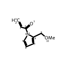 C=CC(=O)n1cccc1COC